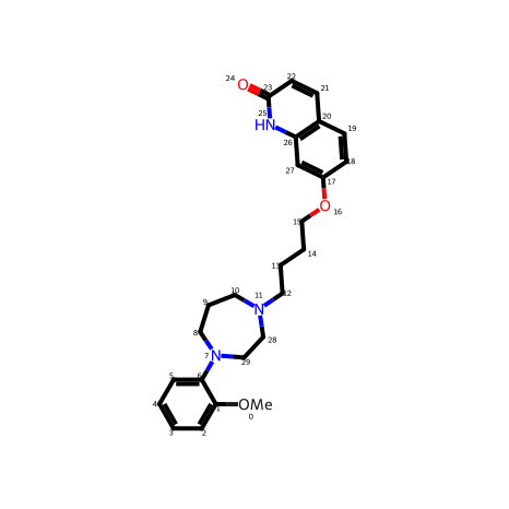 COc1ccccc1N1CCCN(CCCCOc2ccc3ccc(=O)[nH]c3c2)CC1